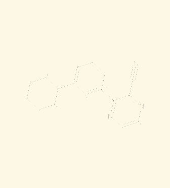 N#Cc1nccnc1-c1cccc(C2CCCCC2)c1